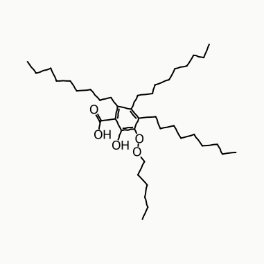 CCCCCCCCCc1c(CCCCCCCCC)c(OOCCCCCC)c(O)c(C(=O)O)c1CCCCCCCCC